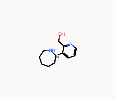 OCc1ncccc1[C@H]1CCCCCN1